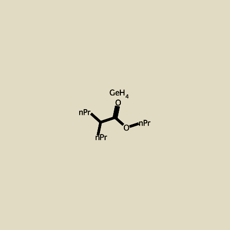 CCCOC(=O)C(CCC)CCC.[GeH4]